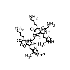 Cc1[nH]cnc1C[C@H](NC(=O)CN)C(=O)N[C@@H](CCCCN)C(=O)[O-].Cc1[nH]cnc1C[C@H](NC(=O)CN)C(=O)N[C@@H](CCCCN)C(=O)[O-].[Mn+2]